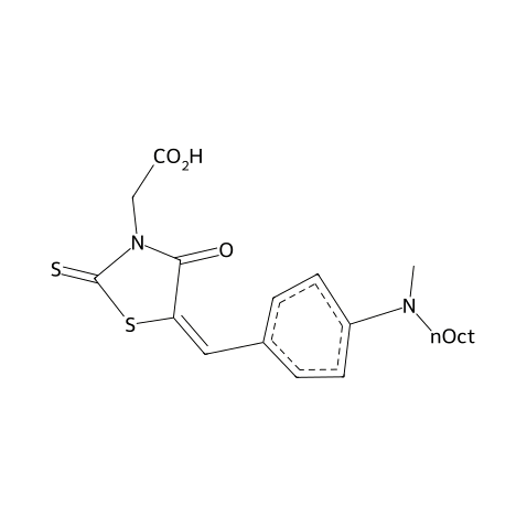 CCCCCCCCN(C)c1ccc(/C=C2/SC(=S)N(CC(=O)O)C2=O)cc1